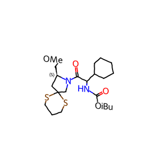 COC[C@@H]1CC2(CN1C(=O)C(NC(=O)OCC(C)C)C1CCCCC1)SCCCS2